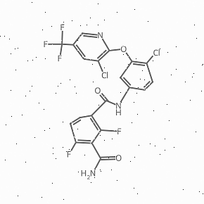 NC(=O)c1c(F)ccc(C(=O)Nc2ccc(Cl)c(Oc3ncc(C(F)(F)F)cc3Cl)c2)c1F